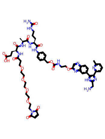 Cc1cccc(-c2nc(CN)[nH]c2-c2ccc3ncc(OCCNC(=O)OCc4ccc(NC(=O)[C@H](CCCNC(N)=O)NC(=O)[C@H](C)NC(=O)[C@H](CCC(=O)O)NC(=O)CCOCCOCCOCCOCCN5C(=O)C=CC5=O)cc4)nc3c2)n1